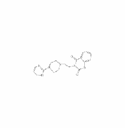 O=c1oc2ccccc2c(=O)n1CCN1CCN(c2ncccn2)CC1